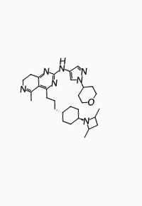 CC1=NCCc2nc(Nc3cnn(C4CCOCC4)c3)nc(CCC[C@H]3CC[C@H](N4C(C)CC4C)CC3)c21